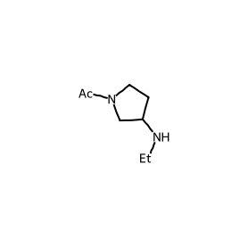 CCNC1CCN(C(C)=O)C1